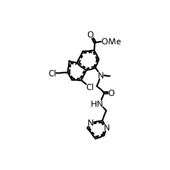 COC(=O)c1cc(N(C)CC(=O)NCc2ncccn2)c2c(Cl)cc(Cl)cc2c1